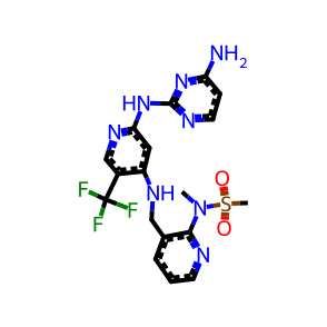 CN(c1ncccc1CNc1cc(Nc2nccc(N)n2)ncc1C(F)(F)F)S(C)(=O)=O